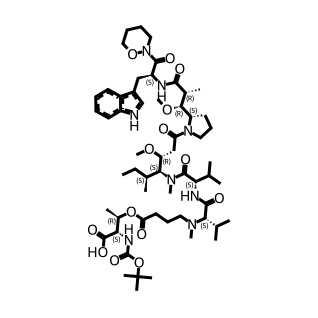 CC[C@H](C)[C@@H]([C@@H](CC(=O)N1CCC[C@H]1[C@H](OC)[C@@H](C)C(=O)N[C@@H](Cc1c[nH]c2ccccc12)C(=O)N1CCCCO1)OC)N(C)C(=O)[C@@H](NC(=O)[C@H](C(C)C)N(C)CCCC(=O)O[C@H](C)[C@H](NC(=O)OC(C)(C)C)C(=O)O)C(C)C